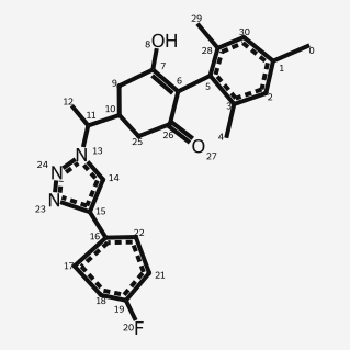 Cc1cc(C)c(C2=C(O)CC(C(C)n3cc(-c4ccc(F)cc4)nn3)CC2=O)c(C)c1